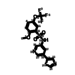 COc1ccc(OC(F)(F)F)cc1S(=O)(=O)Nc1cncc(-c2cncs2)c1